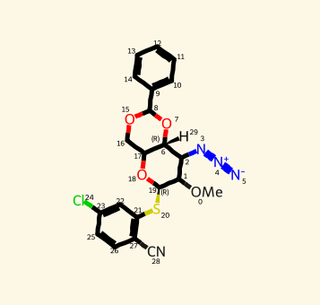 COC1C(N=[N+]=[N-])[C@H]2OC(c3ccccc3)OCC2O[C@@H]1Sc1cc(Cl)ccc1C#N